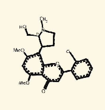 COc1cc(OC)c2c(=O)cc(-c3ccccc3Cl)oc2c1C1CCN(C)[C@@H]1CO